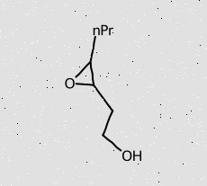 CCCC1OC1CCO